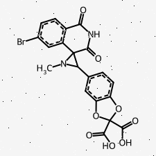 CN1C(c2ccc3c(c2)OC(C(=O)O)(C(=O)O)O3)C12C(=O)NC(=O)c1ccc(Br)cc12